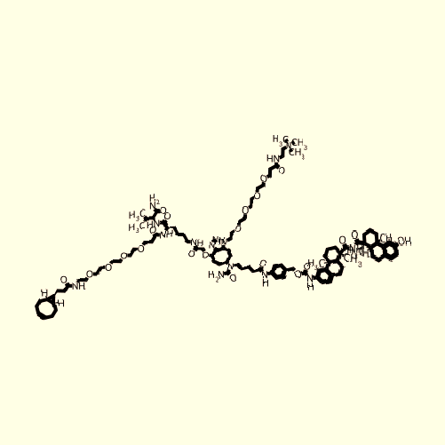 CC(C)[C@H](NC(=O)[C@@H](CCCCNC(=O)COC1CCC(N(CCCCC(=O)Nc2ccc(COC(=O)Nc3ccc4c(c3)[C@@]3(C)CCC[C@](C)(C(=O)NC(=O)[C@@]5(C)CCC[C@]6(C)c7cc(O)ccc7CC[C@@H]56)C3CC4)cc2)C(N)=O)CC/C(NCCOCCOCCOCCOCCC(=O)NCC[N+](C)(C)C)=C\1N=N)NC(=O)CCOCCOCCOCCOCCNC(=O)CC[C@@H]1[C@@H]2CCC#CCC[C@@H]21)C(N)=O